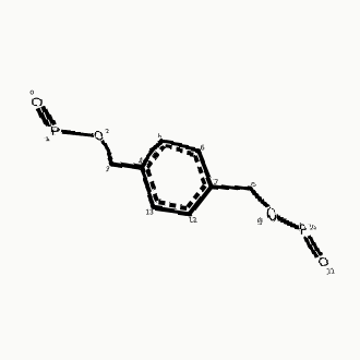 O=POCc1ccc(COP=O)cc1